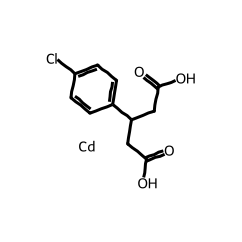 O=C(O)CC(CC(=O)O)c1ccc(Cl)cc1.[Cd]